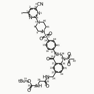 Cc1cc(C#N)nc(N2CCN(S(=O)(=O)c3ccc(NC(=O)c4cc(CNC(=O)CNC(=O)OC(C)(C)C)ccc4N(C)S(C)(=O)=O)cc3)CC2)n1